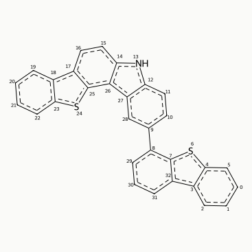 c1ccc2c(c1)sc1c(-c3ccc4[nH]c5ccc6c7ccccc7sc6c5c4c3)cccc12